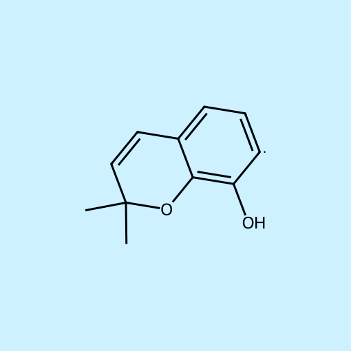 CC1(C)C=Cc2cc[c]c(O)c2O1